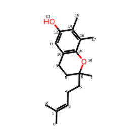 CC(C)=CCCC1(C)CCc2cc(O)c(C)c(C)c2O1